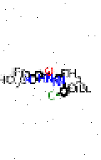 Cc1cc(NC(=O)c2ccc3c(c2)CCN(C(=O)O)C3CC(C)C)nn1Cc1cc(Cl)ccc1OCC(C)C